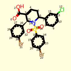 O=C(O)C1=CCC(c2cccc(Cl)c2)N(S(=O)(=O)c2ccc(Br)cc2)[C@H]1c1cccc(Br)c1